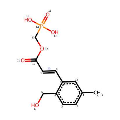 Cc1ccc(CO)c(/C=C/C(=O)OCP(=O)(O)O)c1